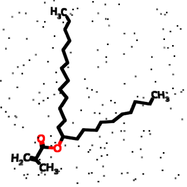 C=C(C)C(=O)OC(CCCCCCCCCC)CCCCCCCCCCCCC